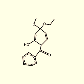 CCOC1(OC)C=CC(C(=O)c2ccccc2)C(O)=C1